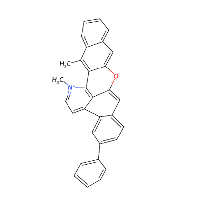 Cc1c2c(cc3ccccc13)Oc1cc3ccc(-c4ccccc4)cc3c3cc[n+](C)c-2c13